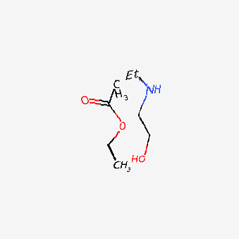 CCNCCO.CCOC(C)=O